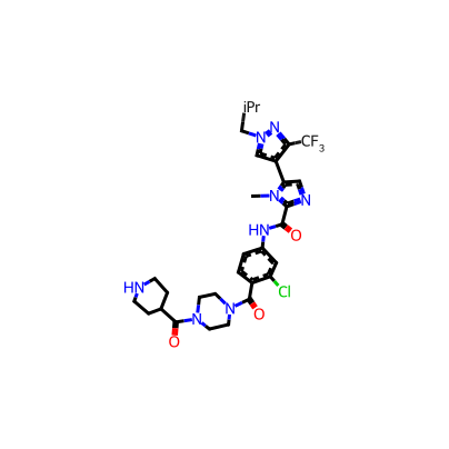 CC(C)Cn1cc(-c2cnc(C(=O)Nc3ccc(C(=O)N4CCN(C(=O)C5CCNCC5)CC4)c(Cl)c3)n2C)c(C(F)(F)F)n1